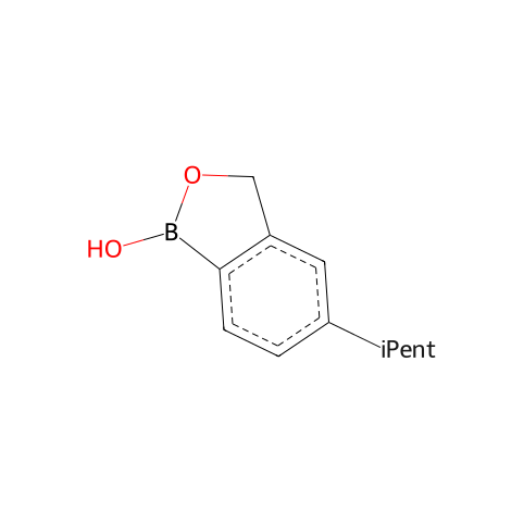 CCCC(C)c1ccc2c(c1)COB2O